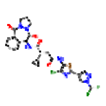 O=C(C[C@H](C(=O)N[C@@H]1C(=O)N2CCCN2C(=O)c2ccccc21)C1CC1)Nc1sc(-c2cnn(C(F)F)c2)nc1Cl